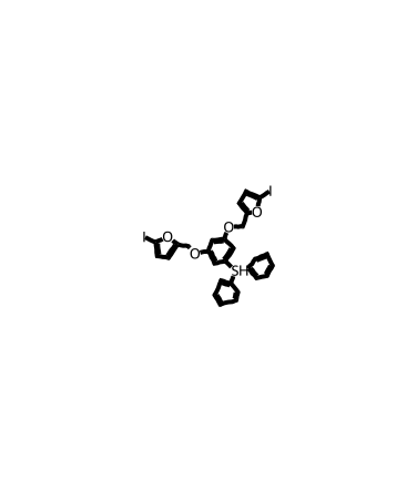 Ic1ccc(COc2cc(OCc3ccc(I)o3)cc([SH](c3ccccc3)c3ccccc3)c2)o1